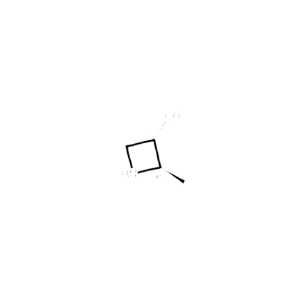 C[C@H]1NC[C@@H]1O